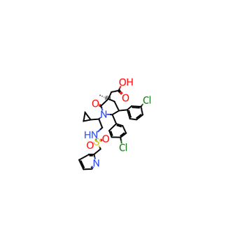 C[C@]1(CC(=O)O)CC(c2cccc(Cl)c2)C(c2ccc(Cl)cc2)N(C(CNS(=O)(=O)Cc2ccccn2)C2CC2)C1=O